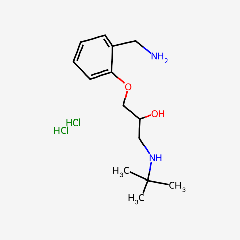 CC(C)(C)NCC(O)COc1ccccc1CN.Cl.Cl